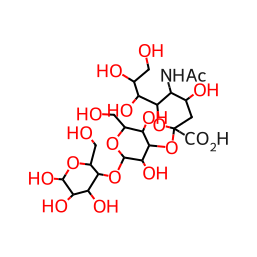 CC(=O)NC1C(O)CC(OC2C(O)C(CO)OC(OC3C(CO)OC(O)C(O)C3O)C2O)(C(=O)O)OC1C(O)C(O)CO